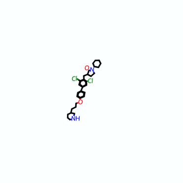 O=C1C(Cc2c(Cl)cc(-c3ccc(OCCCC4CCCNC4)cc3)cc2Cl)CCN1C1CCCCC1